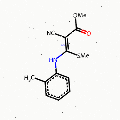 COC(=O)/C(C#N)=C(/Nc1ccccc1C)SC